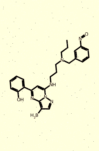 Bc1cnn2c(NCCCN(CCC)Cc3cccc(N=O)c3)cc(-c3ccccc3O)nc12